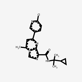 Cc1cc(-c2ccc(Cl)nc2)nc2c(C(=O)NC(C)(C)C3CC3)ncn12